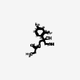 CCC(=O)OCC(O)(CO)c1ccc(F)cc1F